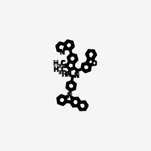 CC1(C)C2=C(C(c3ccc4oc5ccccc5c4c3)=NC(c3ccc(-n4c5ccccc5c5cc6ccccc6cc54)cc3)N2)c2ccc(-c3cccc4cccnc34)cc21